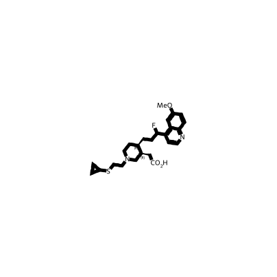 COc1ccc2nccc(C(F)CC[C@@H]3CCN(CCSC4CC4)C[C@@H]3CC(=O)O)c2c1